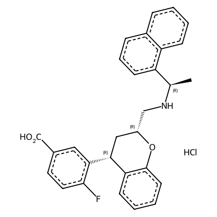 C[C@@H](NC[C@H]1C[C@@H](c2cc(C(=O)O)ccc2F)c2ccccc2O1)c1cccc2ccccc12.Cl